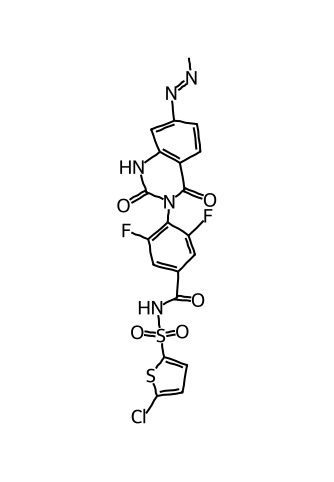 CN=Nc1ccc2c(=O)n(-c3c(F)cc(C(=O)NS(=O)(=O)c4ccc(Cl)s4)cc3F)c(=O)[nH]c2c1